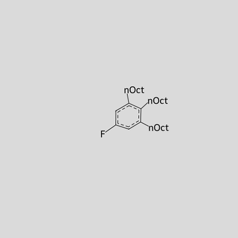 CCCCCCCCc1cc(F)cc(CCCCCCCC)c1CCCCCCCC